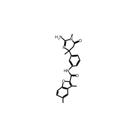 Cc1ccc2oc(C(=O)Nc3cccc(C4(C)CC(=O)N(C)C(N)=N4)c3)c(C)c2c1